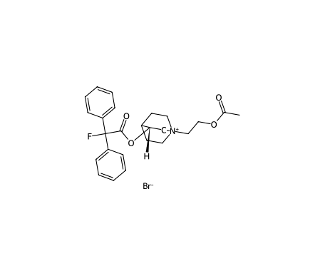 CC(=O)OCC[N+]12CCC(CC1)[C@@H](OC(=O)C(F)(c1ccccc1)c1ccccc1)C2.[Br-]